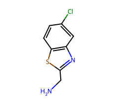 NCc1nc2cc(Cl)ccc2s1